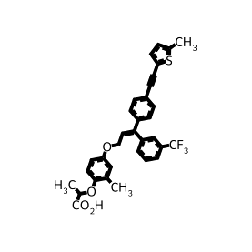 Cc1ccc(C#Cc2ccc(C(=CCOc3ccc(OC(C)C(=O)O)c(C)c3)c3cccc(C(F)(F)F)c3)cc2)s1